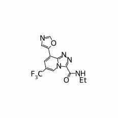 CCNC(=O)c1nnc2c(-c3cnco3)cc(C(F)(F)F)cn12